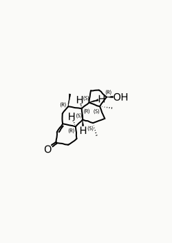 C[C@@H]1CC2=CC(=O)CC[C@@H]2[C@@H]2[C@@H]1[C@@H]1CC[C@@H](O)[C@@]1(C)C[C@@H]2C